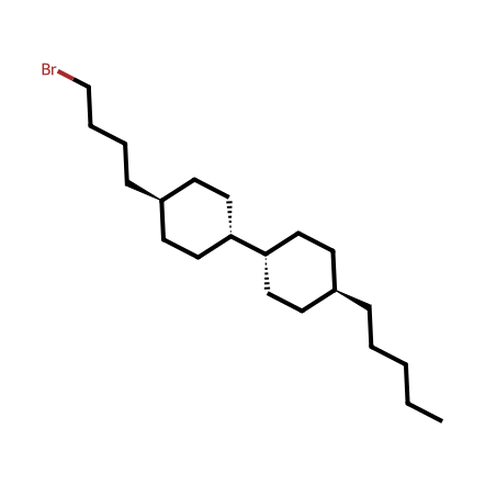 CCCCC[C@H]1CC[C@H]([C@H]2CC[C@H](CCCCBr)CC2)CC1